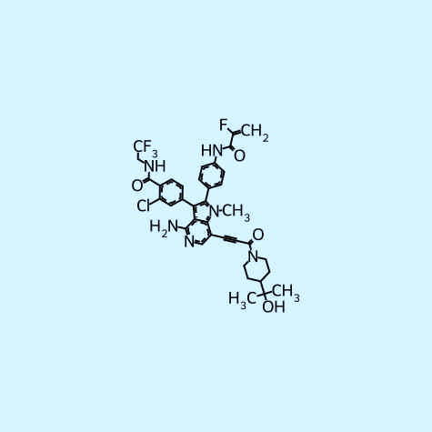 C=C(F)C(=O)Nc1ccc(-c2c(-c3ccc(C(=O)NCC(F)(F)F)c(Cl)c3)c3c(N)ncc(C#CC(=O)N4CCC(C(C)(C)O)CC4)c3n2C)cc1